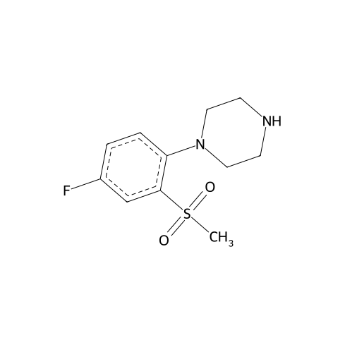 CS(=O)(=O)c1cc(F)ccc1N1CCNCC1